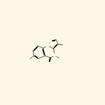 CCOC(=O)c1cnn2c3ccc(C)cc3c(=O)n(C)c12